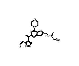 C=C(c1nc(N2CCOCC2)c2sc(CNC(=O)CO)cc2n1)c1cn[nH]c1/C=C\C